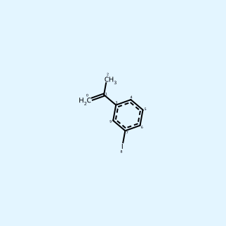 C=C(C)c1cccc(I)c1